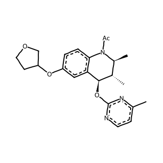 CC(=O)N1c2ccc(OC3CCOC3)cc2[C@H](Oc2nccc(C)n2)[C@@H](C)[C@@H]1C